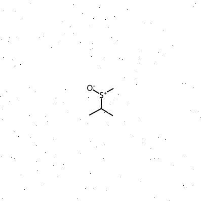 CC(C)[S+](C)[O-]